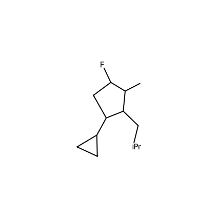 CC(C)CC1C(C)C(F)CC1C1CC1